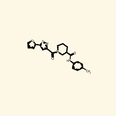 Cc1ccc(NC(=O)C2CCCN(C(=O)c3cc(-c4ccco4)on3)C2)cc1